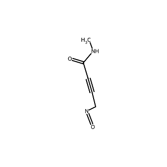 CNC(=O)C#CCN=O